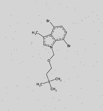 Cc1cn(COCCS(C)(C)C)c2c(Br)ccc(Br)c12